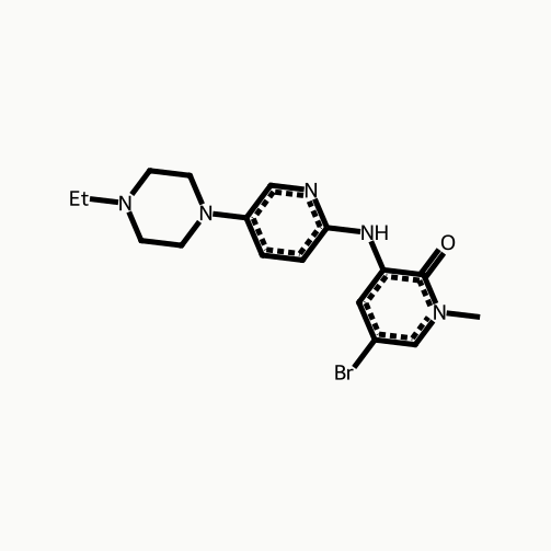 CCN1CCN(c2ccc(Nc3cc(Br)cn(C)c3=O)nc2)CC1